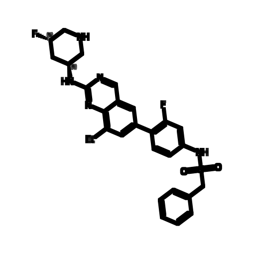 CCc1cc(-c2ccc(NS(=O)(=O)Cc3ccccc3)cc2F)cc2cnc(N[C@@H]3CNC[C@@H](F)C3)nc12